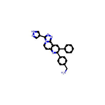 NCc1ccc(-c2nc3ccn4c(-c5cn[nH]c5)nnc4c3cc2-c2ccccc2)cc1